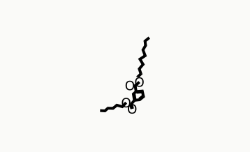 CCCCCCCCCCOC(=O)c1cccc(C(=O)OCCCCCC)c1